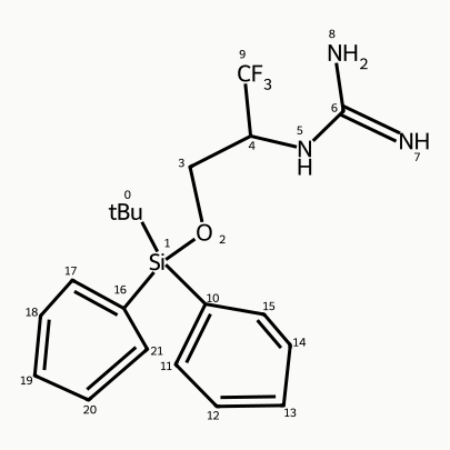 CC(C)(C)[Si](OCC(NC(=N)N)C(F)(F)F)(c1ccccc1)c1ccccc1